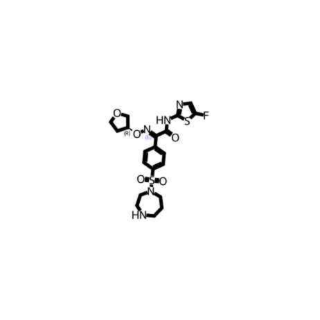 O=C(Nc1ncc(F)s1)/C(=N/O[C@@H]1CCOC1)c1ccc(S(=O)(=O)N2CCCNCC2)cc1